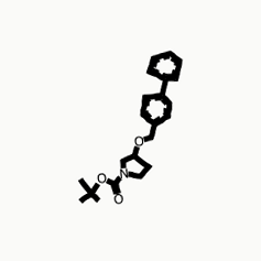 CC(C)(C)OC(=O)N1CCC(OCc2ccc(-c3ccccc3)cc2)C1